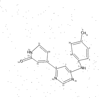 Cc1ccc(Nc2cc(-c3cc[nH]c(=O)c3)ncn2)cc1